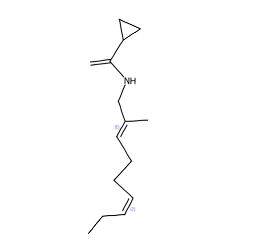 C=C(NC/C(C)=C/CC/C=C\CC)C1CC1